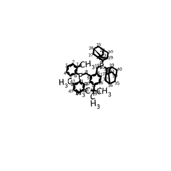 Cc1ccccc1P(Cc1cc(C(C)(C)C)ccc1CP(C1C2CC3CC(C2)CC1C3)C1C2CC3CC(C2)CC1C3)c1ccccc1C